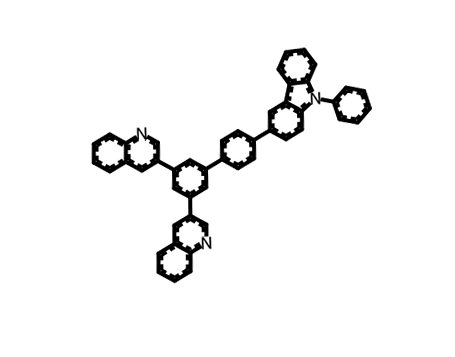 c1ccc(-n2c3ccccc3c3cc(-c4ccc(-c5cc(-c6cnc7ccccc7c6)cc(-c6cnc7ccccc7c6)c5)cc4)ccc32)cc1